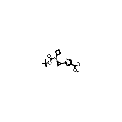 COC(=O)c1csc(C2CC2N(C(=O)OC(C)(C)C)C2CCC2)c1